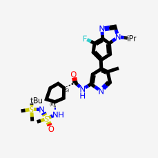 Cc1cnc(NC(=O)[C@H]2CCC[C@@H](NS(C)(=O)=NS(C)(C)C(C)(C)C)C2)cc1-c1cc(F)c2ncn(C(C)C)c2c1